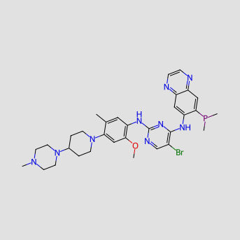 COc1cc(N2CCC(N3CCN(C)CC3)CC2)c(C)cc1Nc1ncc(Br)c(Nc2cc3nccnc3cc2P(C)C)n1